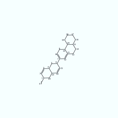 IC1C=CC2CC(C3=CCC4C(=C3)CCC3CCCCC34)C=CC2C1